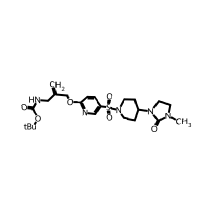 C=C(CNC(=O)OC(C)(C)C)COc1ccc(S(=O)(=O)N2CCC(N3CCN(C)C3=O)CC2)cn1